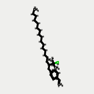 C=Cc1ccc(CC(CCCCCCCCCCCCCCCC)C(C)(C)Cl)cc1